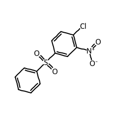 O=[N+]([O-])c1cc(S(=O)(=O)c2ccccc2)ccc1Cl